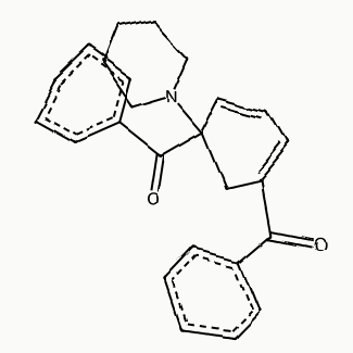 O=C(C1=CC=CC(C(=O)c2ccccc2)(N2CCCCC2)C1)c1ccccc1